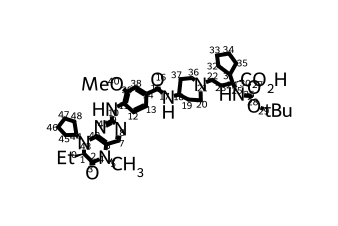 CC[C@@H]1C(=O)N(C)c2cnc(Nc3ccc(C(=O)NC4CCN(CC[C@@](NC(=O)OC(C)(C)C)(C(=O)O)C5CCCC5)CC4)cc3OC)nc2N1C1CCCC1